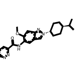 COc1cc2nn([C@H]3CC[C@H](C(C)C)CC3)cc2cc1NC(=O)c1cccnn1